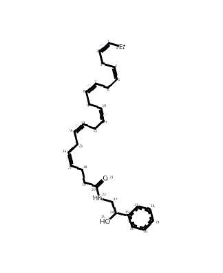 CC/C=C\C/C=C\C/C=C\C/C=C\C/C=C\C/C=C\CCC(=O)NCC(O)c1ccccc1